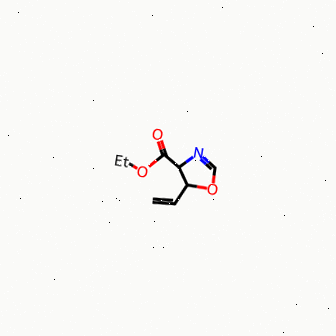 C=CC1OC=NC1C(=O)OCC